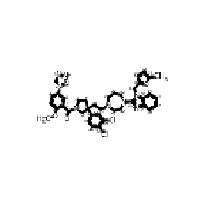 COc1ccc(-n2cnnn2)cc1C(=O)N1CCC(CCN2CCCN(c3nc4ccccc4n3Cc3ccc(C)o3)CC2)(c2ccc(Cl)c(Cl)c2)C1